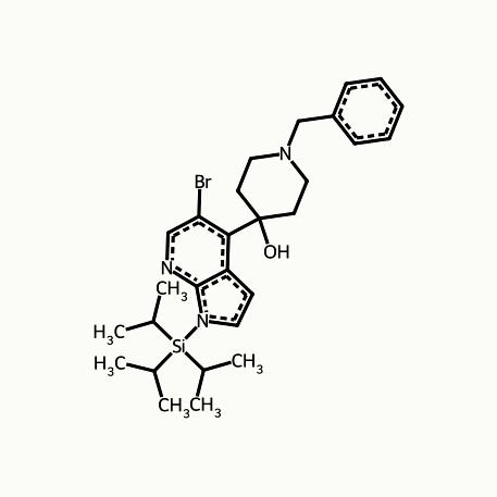 CC(C)[Si](C(C)C)(C(C)C)n1ccc2c(C3(O)CCN(Cc4ccccc4)CC3)c(Br)cnc21